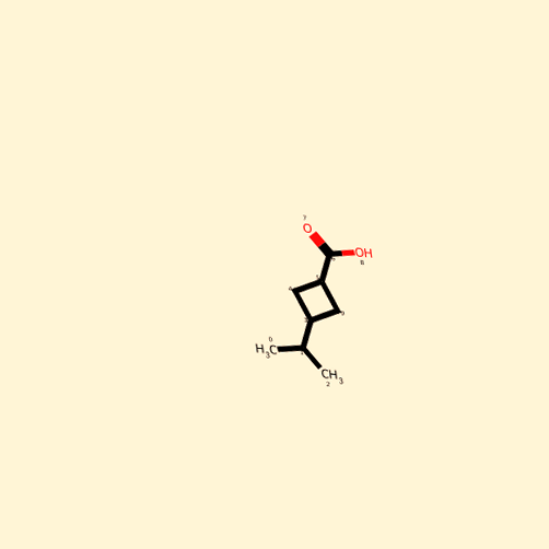 CC(C)C1CC(C(=O)O)C1